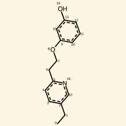 CCc1ccc(CCOc2cccc(O)c2)nc1